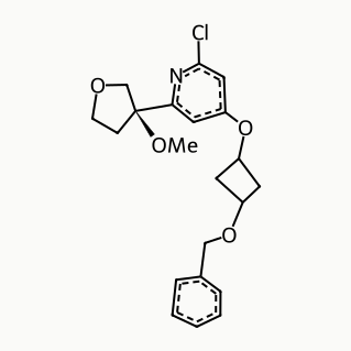 CO[C@@]1(c2cc(OC3CC(OCc4ccccc4)C3)cc(Cl)n2)CCOC1